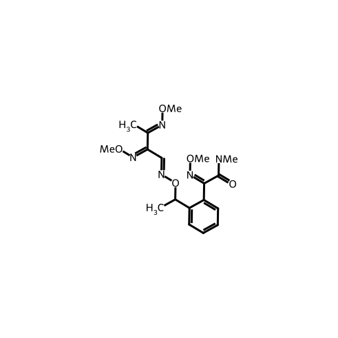 CNC(=O)C(=NOC)c1ccccc1C(C)ON=CC(=NOC)C(C)=NOC